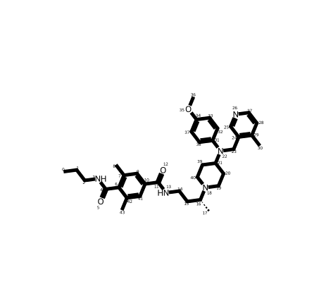 CCCNC(=O)c1c(C)cc(C(=O)NCC[C@@H](C)N2CCC(N(Cc3cnccc3C)c3ccc(OC)cc3)CC2)cc1C